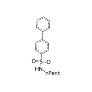 CCCCCNS(=O)(=O)c1ccc(-c2ccccc2)cc1